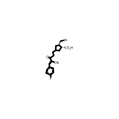 CC(C)C[C@@H]1CC(CCC(=O)/C(C#N)=C/c2ccc(F)cc2)C[C@H]1C(=O)O